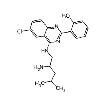 CC(C)CC(N)CNc1nc(-c2ccccc2O)nc2ccc(Cl)cc12